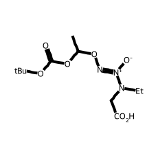 CCN(CC(=O)O)/[N+]([O-])=N/OC(C)OC(=O)OC(C)(C)C